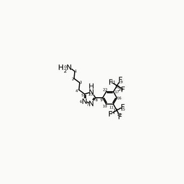 NCCCCc1nnc(-c2cc(C(F)(F)F)cc(C(F)(F)F)c2)[nH]1